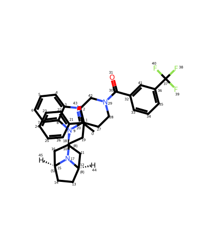 Cc1nc2ccccc2n1[C@H]1C[C@H]2CC[C@@H](C1)N2CCC1(c2ccccc2)CCN(C(=O)c2cccc(C(F)(F)F)c2)CC1